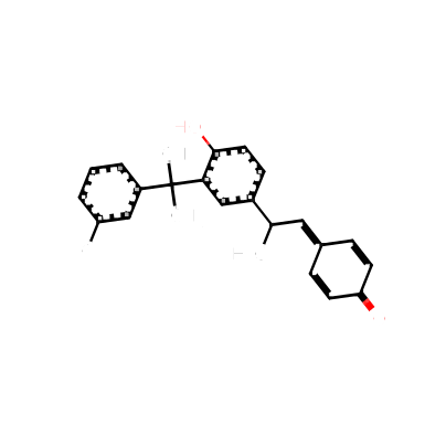 Cc1cccc(C(C)(C)c2cc(C(C)C=C3C=CC(=O)C=C3)ccc2O)c1